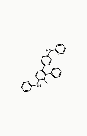 Cc1c(Nc2ccccc2)ccc(-c2ccc(Nc3ccccc3)cc2)c1-c1ccccc1